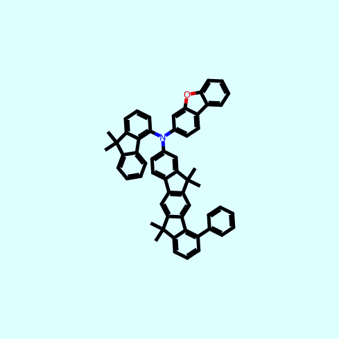 CC1(C)c2cc(N(c3ccc4c(c3)oc3ccccc34)c3cccc4c3-c3ccccc3C4(C)C)ccc2-c2cc3c(cc21)-c1c(-c2ccccc2)cccc1C3(C)C